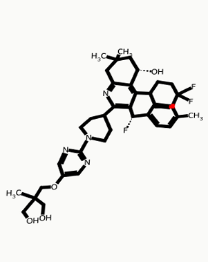 Cc1ccc([C@H](F)c2c(C3CCN(c4ncc(OCC(C)(CO)CO)cn4)CC3)nc3c(c2C2CCC(F)(F)CC2)[C@@H](O)CC(C)(C)C3)cc1